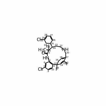 C[C@H]1C(=O)Nc2cc(Cl)ccc2C2(F)C=C(F)C(=CC2)CNCCC1C1C=CC=C(Cl)C1